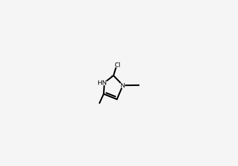 CC1=CN(C)[C](Cl)N1